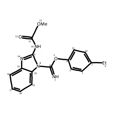 CCc1ccc(OC(=N)n2c(NC(=O)OC)nc3ccccc32)cc1